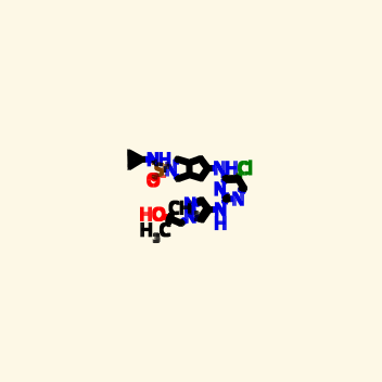 CC(C)(O)Cn1cc(Nc2ncc(Cl)c(NC3CC4CN([S+]([O-])NC5CC5)CC4C3)n2)cn1